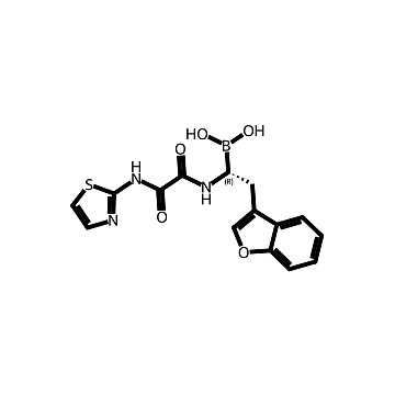 O=C(Nc1nccs1)C(=O)N[C@@H](Cc1coc2ccccc12)B(O)O